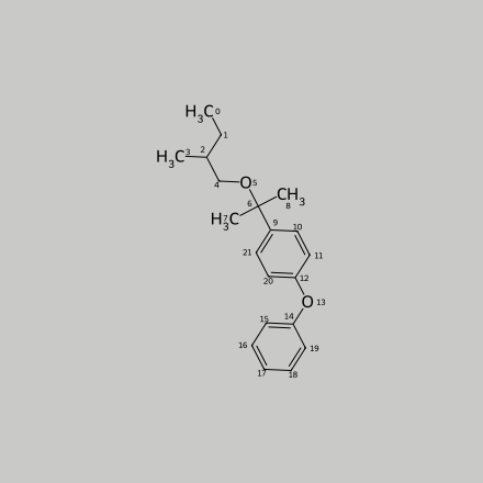 CCC(C)COC(C)(C)c1ccc(Oc2ccccc2)cc1